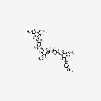 C/C=C1\C(=O)/C(=C/Nc2cc(Br)c(N/C=C3/C(=O)/C(=C\Nc4ccc(N/C=C5/C(=O)/C(=C\Nc6ccc(C)cc6)C(=O)/C(=C\C)C5=O)cc4C(F)(F)F)C(=O)/C(=C\C)C3=O)cc2Br)C(=O)/C(=C/N)C1=O